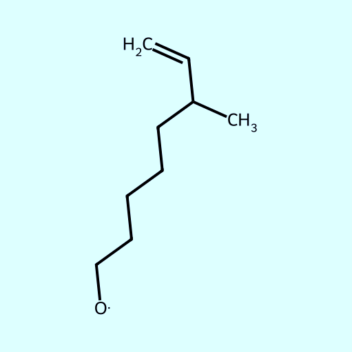 C=CC(C)CCCCC[O]